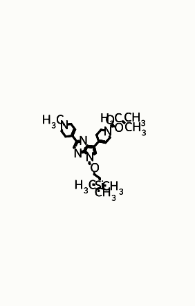 CN1CC=C(c2cnc3c(n2)c(C2=CCN(C(=O)OC(C)(C)C)CC2)cn3COCC[Si](C)(C)C)CC1